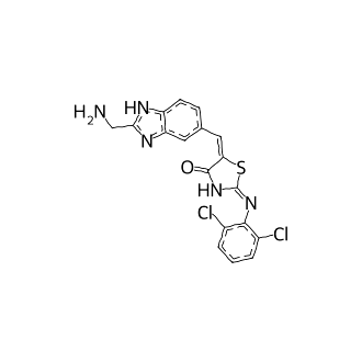 NCc1nc2cc(C=C3SC(=Nc4c(Cl)cccc4Cl)NC3=O)ccc2[nH]1